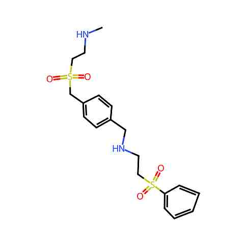 CNCCS(=O)(=O)Cc1ccc(CNCCS(=O)(=O)c2ccccc2)cc1